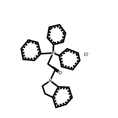 O=C(C[P+](c1ccccc1)(c1ccccc1)c1ccccc1)N1CCc2ccccc21.[Cl-]